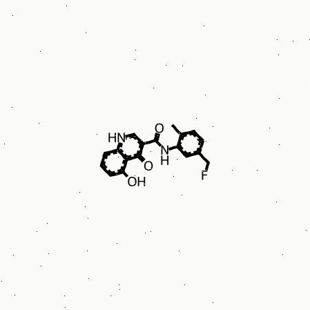 Cc1ccc(CF)cc1NC(=O)c1c[nH]c2cccc(O)c2c1=O